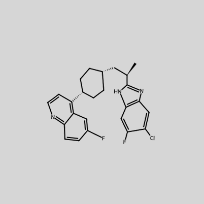 C[C@H](C[C@H]1CC[C@@H](c2ccnc3ccc(F)cc32)CC1)c1nc2cc(Cl)c(F)cc2[nH]1